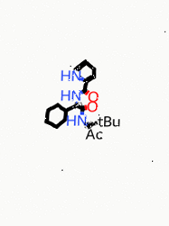 CC(=O)[C@@H](NC(=O)[C@@H](NC(=O)C1=CCC=CN1)C1CCCCC1)C(C)(C)C